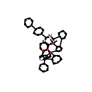 CC1(C)c2ccccc2C2(c3ccccc3-c3ccccc32)c2cccc(-c3ccccc3-c3nc(-c4ccc(-c5ccccc5)cc4)nc(-c4ccc(-c5ccccc5)cc4)n3)c21